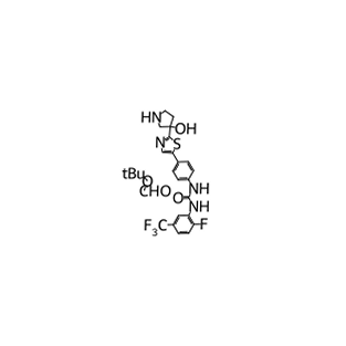 CC(C)(C)OC=O.O=C(Nc1ccc(-c2cnc(C3(O)CCNC3)s2)cc1)Nc1cc(C(F)(F)F)ccc1F